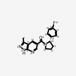 Cc1n[nH]c2ncc(C(=O)N3CCC[C@H]3c3ccc(F)cc3)cc12